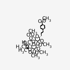 COC(=O)c1ccc(C=CC[C@H]2O[C@H](COC(C)=O)[C@@H](OC(C)=O)[C@H](O[C@H]3O[C@H](COC(C)=O)[C@@H](OC(C)=O)[C@@H](OC(C)=O)[C@H]3OC(C)=O)[C@@H]2OC(C)=O)cc1